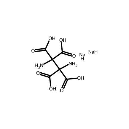 NC(C(=O)O)(C(=O)O)C(N)(C(=O)O)C(=O)O.[NaH].[NaH]